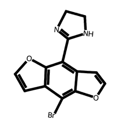 Brc1c2ccoc2c(C2=NCCN2)c2ccoc12